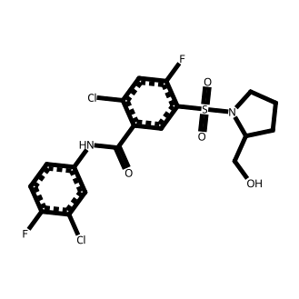 O=C(Nc1ccc(F)c(Cl)c1)c1cc(S(=O)(=O)N2CCCC2CO)c(F)cc1Cl